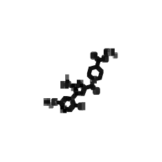 COC(=O)C1CCN(C(=O)c2cc(-c3cc(C)ncc3Cl)n(PI)n2)CC1